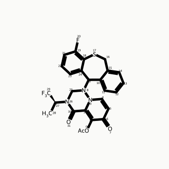 CC(=O)Oc1c2n(ccc1=O)N(C1c3ccccc3CSc3c(F)cccc31)CN([C@@H](C)C(F)(F)F)C2=O